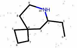 CCC1CC2(CCC2)CCN1